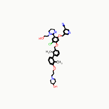 Cc1c(COc2cc(OCc3cncc(C#N)c3)c(C3=NCCCN3CCO)cc2Cl)cccc1-c1cccc(OCCCN2CCC(O)CC2)c1C